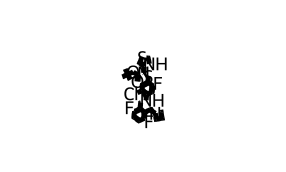 CC(C)(C)OC(=O)N(Sc1cc(Cl)c(NCc2c(F)ccc(F)c2CN2CCC2)cc1F)C1=CSCN1